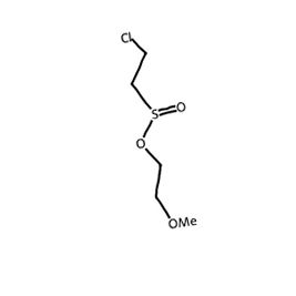 COCCOS(=O)CCCl